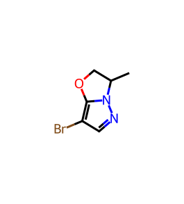 CC1COc2c(Br)cnn21